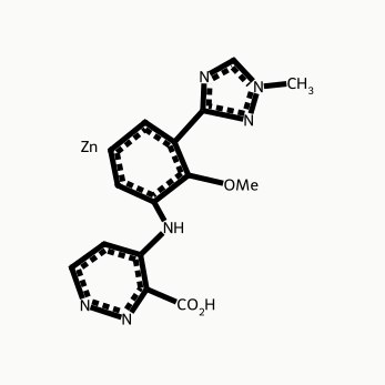 COc1c(Nc2ccnnc2C(=O)O)cccc1-c1ncn(C)n1.[Zn]